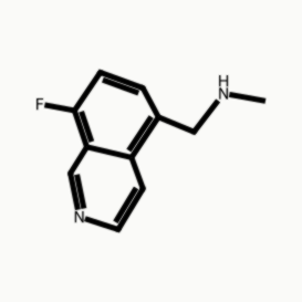 CNCc1ccc(F)c2cnccc12